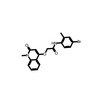 Cc1cc(Br)ccc1NC(=O)COc1cc(=O)n(C)c2ccccc12